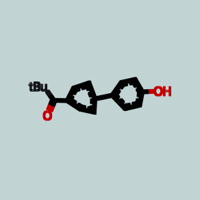 CC(C)(C)C(=O)c1ccc(-c2ccc(O)cc2)cc1